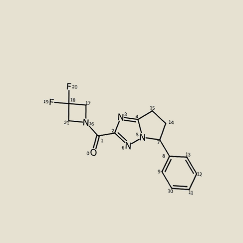 O=C(c1nc2n(n1)C(c1ccccc1)CC2)N1CC(F)(F)C1